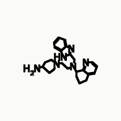 NC1CCN(CCN(Cc2nc3ccccc3[nH]2)C2CCCc3cccnc32)CC1